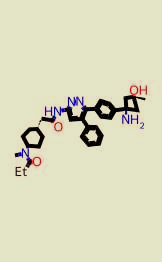 CCC(=O)N(C)[C@H]1CC[C@H](CC(=O)Nc2cc(-c3ccccc3)c(-c3ccc([C@]4(N)C[C@](C)(O)C4)cc3)nn2)CC1